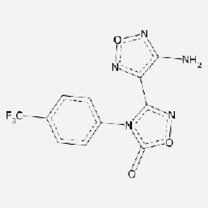 Nc1nonc1-c1noc(=O)n1-c1ccc(C(F)(F)F)cc1